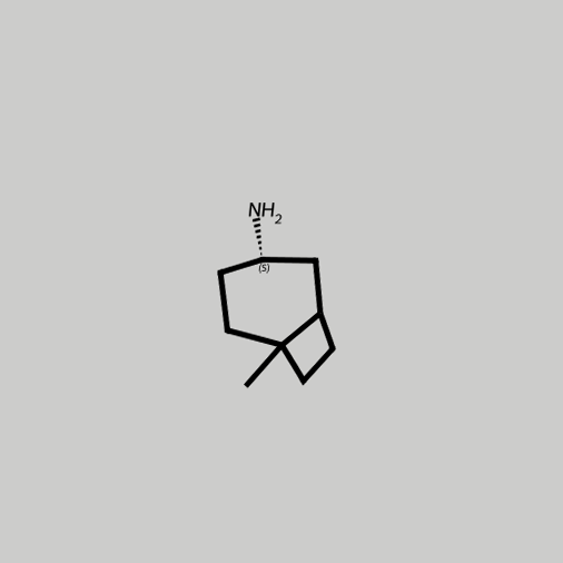 CC12CCC1C[C@@H](N)CC2